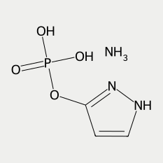 N.O=P(O)(O)Oc1cc[nH]n1